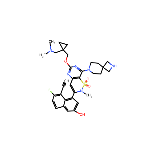 C#Cc1c(F)ccc2cc(O)cc(C3=Cc4nc(OCC5(CN(C)C)CC5)nc(N5CCC6(CC5)CNC6)c4S(=O)(=O)N3C)c12